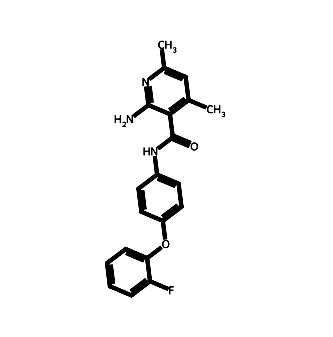 Cc1cc(C)c(C(=O)Nc2ccc(Oc3ccccc3F)cc2)c(N)n1